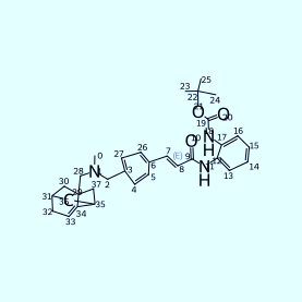 CN(Cc1ccc(/C=C/C(=O)Nc2ccccc2NC(=O)OC(C)(C)C)cc1)CC12CC3CC=C1C(C3)C2